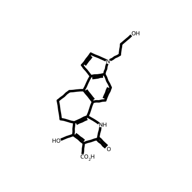 O=C(O)c1c(O)c2c([nH]c1=O)-c1ccc3c(ccn3CCO)c1CCC2